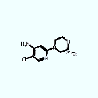 CC[C@@H]1CN(c2cc(N)c(Cl)cn2)CCO1